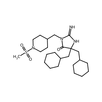 CS(=O)(=O)N1CCC(CN2C(=N)NC(CC3CCCCC3)(CC3CCCCC3)C2=O)CC1